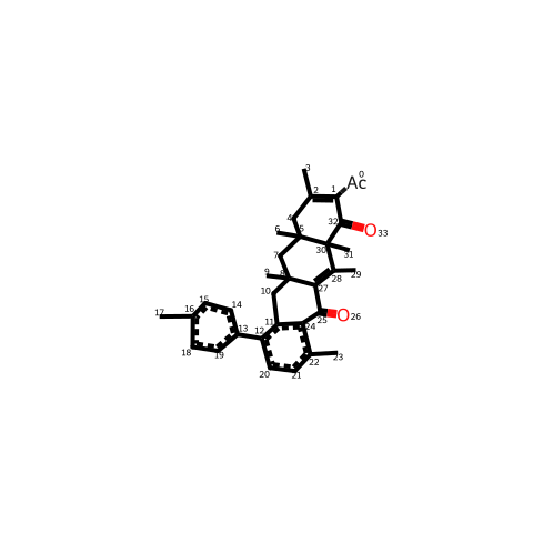 CC(=O)C1=C(C)CC2(C)CC3(C)Cc4c(-c5ccc(C)cc5)ccc(C)c4C(=O)C3=C(C)C2(C)C1=O